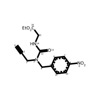 C#CCN(Cc1ccc([N+](=O)[O-])cc1)C(=O)NCC(=O)OCC